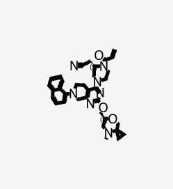 C=CC(=O)N1CCN(c2nc(OC[C@@H]3CN(C)C4(CC4)CO3)nc3c2CCN(c2cccc4ccccc24)C3)C[C@@H]1CC#N